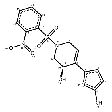 Cc1ccc(C2=CCN(S(=O)(=O)c3ccccc3[N+](=O)[O-])C[C@@H]2O)o1